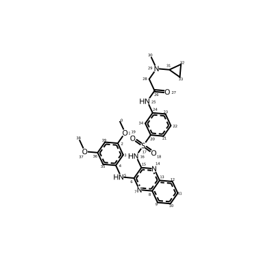 COc1cc(Nc2nc3ccccc3nc2NS(=O)(=O)c2cccc(NC(=O)CN(C)C3CC3)c2)cc(OC)c1